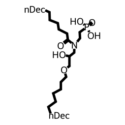 CCCCCCCCCCCCCCCCOCC(O)CN(CCP(=O)(O)O)C(=O)CCCCCCCCCCCCCCC